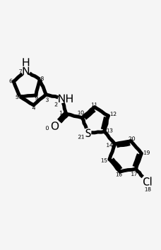 O=C(NC1CC2CNC1C2)c1ccc(-c2ccc(Cl)cc2)s1